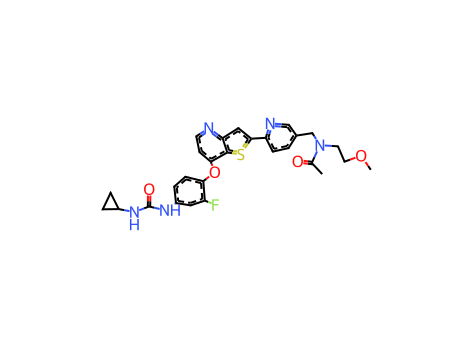 COCCN(Cc1ccc(-c2cc3nccc(Oc4ccc(NC(=O)NC5CC5)cc4F)c3s2)nc1)C(C)=O